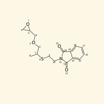 CC(COCC1CO1)SCCN1C(=O)c2ccccc2C1=O